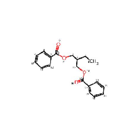 CCC(COC(=O)c1ccccc1)COC(=O)c1ccccc1